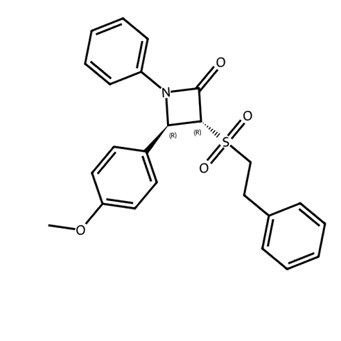 COc1ccc([C@@H]2[C@@H](S(=O)(=O)CCc3ccccc3)C(=O)N2c2ccccc2)cc1